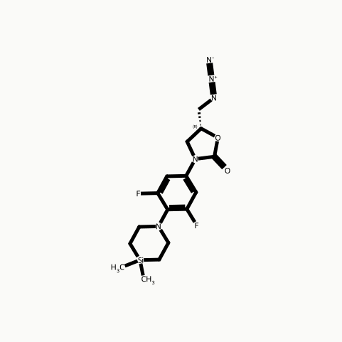 C[Si]1(C)CCN(c2c(F)cc(N3C[C@H](CN=[N+]=[N-])OC3=O)cc2F)CC1